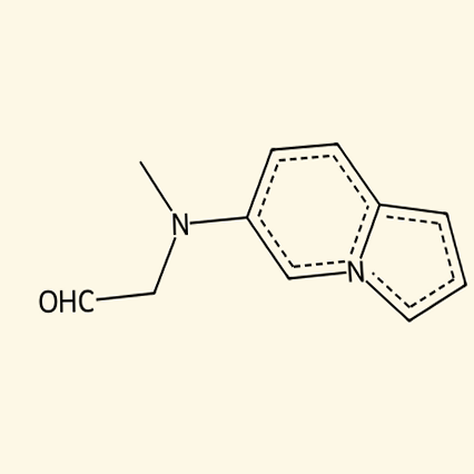 CN(CC=O)c1ccc2cccn2c1